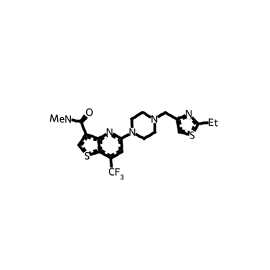 CCc1nc(CN2CCN(c3cc(C(F)(F)F)c4scc(C(=O)NC)c4n3)CC2)cs1